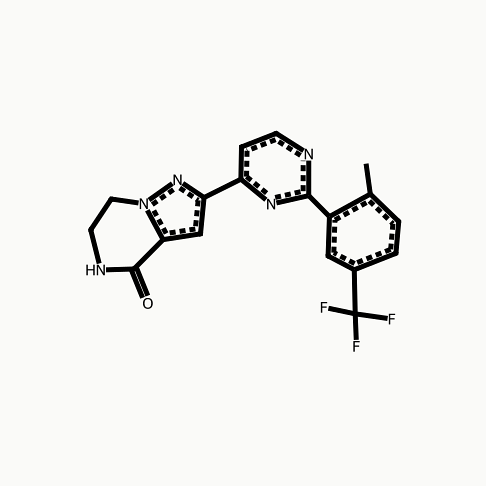 Cc1ccc(C(F)(F)F)cc1-c1nccc(-c2cc3n(n2)CCNC3=O)n1